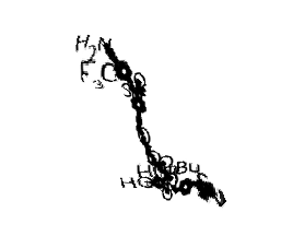 Cc1ncsc1-c1ccc(CNC(=O)[C@@H]2C[C@@H](O)CN2C(=O)[C@@H](NC(=O)COCCCOCC#Cc2ccc(N3C(=S)N(c4ccc(C#CN)c(C(F)(F)F)c4)C(=O)C3(C)C)cc2)C(C)(C)C)cc1